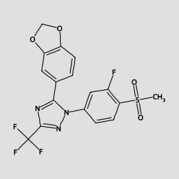 CS(=O)(=O)c1ccc(-n2nc(C(F)(F)F)nc2-c2ccc3c(c2)OCO3)cc1F